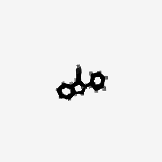 O=C1c2[c]cccc2CN1c1ccccc1